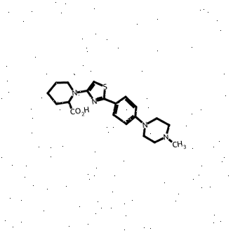 CN1CCN(c2ccc(-c3nc(N4CCCCC4C(=O)O)cs3)cc2)CC1